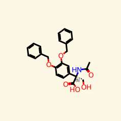 CC(=O)N[C@@](CO)(C(=O)O)c1ccc(OCc2ccccc2)c(OCc2ccccc2)c1